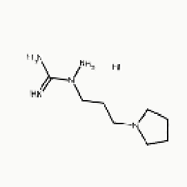 I.N=C(N)N(N)CCCN1CCCC1